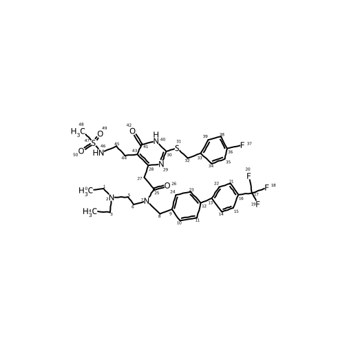 CCN(CC)CCN(Cc1ccc(-c2ccc(C(F)(F)F)cc2)cc1)C(=O)Cc1nc(SCc2ccc(F)cc2)[nH]c(=O)c1CCNS(C)(=O)=O